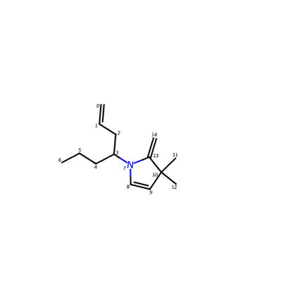 C=CCC(CCC)N1C=CC(C)(C)C1=C